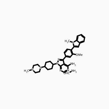 COc1cc(-c2nn(C3CCC(N4CCN(C)CC4)CC3)c3ncnc(N)c23)ccc1-c1cc2ccccc2n1C.NC=O